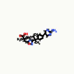 CC(C)C(C)(c1ccc(-c2cnc(N)nc2)cc1)c1noc(CC(C)(C)C(=O)O)n1